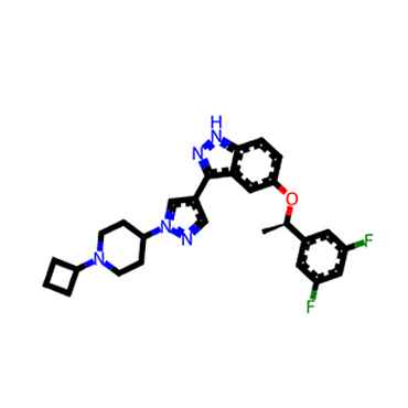 C[C@@H](Oc1ccc2[nH]nc(-c3cnn(C4CCN(C5CCC5)CC4)c3)c2c1)c1cc(F)cc(F)c1